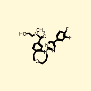 CN(CCO)C(=O)c1ccc2c(c1)N(c1ncc(-c3ccc(F)c(F)c3)cn1)CCCOCC2